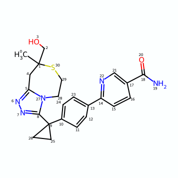 CC1(CO)Cc2nnc(C3(c4ccc(-c5ccc(C(N)=O)cn5)cc4)CC3)n2CCS1